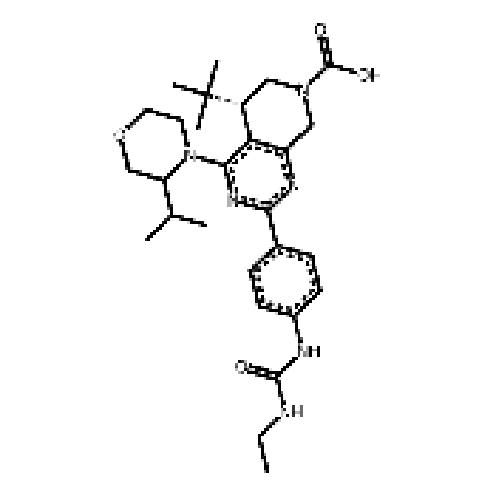 CCNC(=O)Nc1ccc(-c2nc3c(c(N4CCOCC4C(C)C)n2)[C@H](C(C)(C)C)CN(C(=O)O)C3)cc1